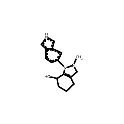 CN1CC2=C(C(O)CCC2)N1c1ccc2c[nH]cc2c1